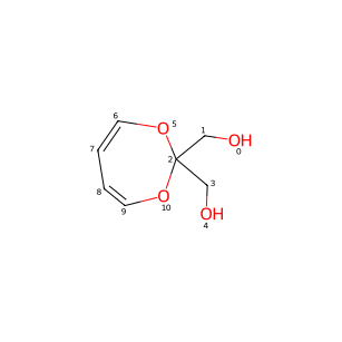 OCC1(CO)OC=CC=CO1